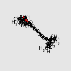 CCN(c1cc(-c2ccc(OCCOCCOCCOCCOCCOCCNC(=O)c3ccc(NC(=O)[C@@H]4N[C@@H](CC(C)(C)C)[C@](C#N)(c5ccc(Cl)cc5F)[C@H]4c4cccc(Cl)c4F)c(OC)c3)cc2)cc(C(=O)NCc2c(C)cc(C)[nH]c2=O)c1C)C1CCOCC1